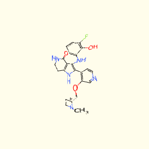 CN1CC[C@@H]1COc1cnccc1-c1[nH]c2c(c1Nc1cccc(F)c1O)C(=O)NCC2